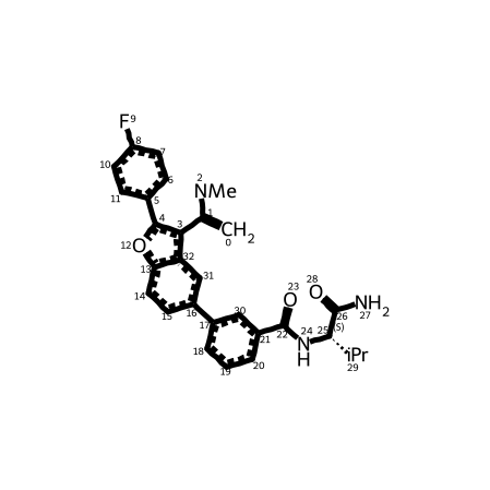 C=C(NC)c1c(-c2ccc(F)cc2)oc2ccc(-c3cccc(C(=O)N[C@H](C(N)=O)C(C)C)c3)cc12